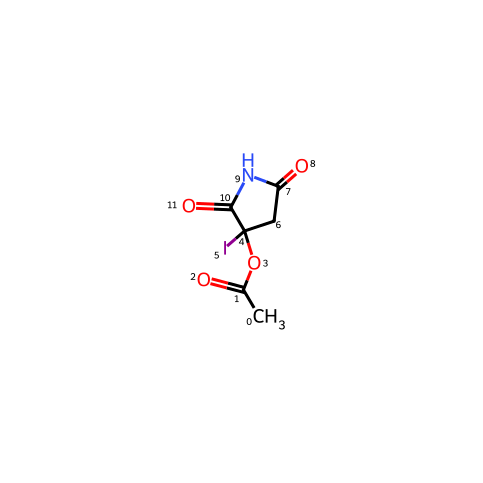 CC(=O)OC1(I)CC(=O)NC1=O